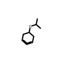 CC(C)OC1CC=C=CC1